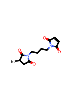 CCC1CC(=O)N(CCCCN2C(=O)C=CC2=O)C1=O